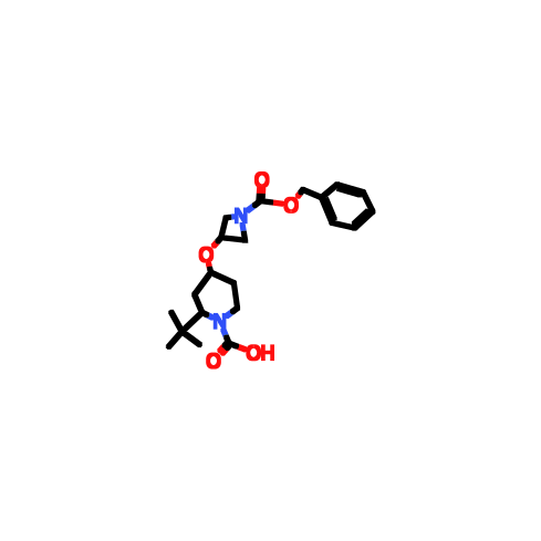 CC(C)(C)C1CC(OC2CN(C(=O)OCc3ccccc3)C2)CCN1C(=O)O